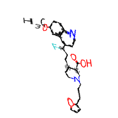 COc1ccc2nccc([C@H](F)CC[C@@H]3CCN(CCCc4ccco4)C[C@@H]3C(=O)O)c2c1